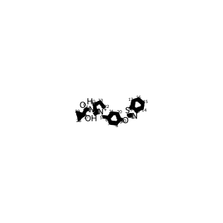 O=C(N1C[N@+]2(Cc3ccc(Oc4nc5ccccc5s4)cc3)CC[C@H]1C2)C1(O)CC1